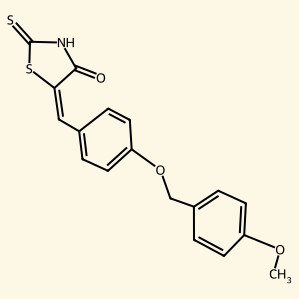 COc1ccc(COc2ccc(C=C3SC(=S)NC3=O)cc2)cc1